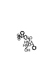 CS(=O)(=O)N1CC2(CCN(C(=O)[C@@H](COCc3ccccc3)NC(=O)NCCO)CC2)c2ccccc21